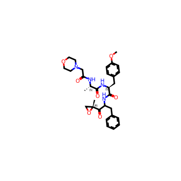 COc1ccc(C[C@H](NC(=O)[C@H](C)NC(=O)CN2CCOCC2)C(=O)NC(Cc2ccccc2)C(=O)[C@@]2(C)CO2)cc1